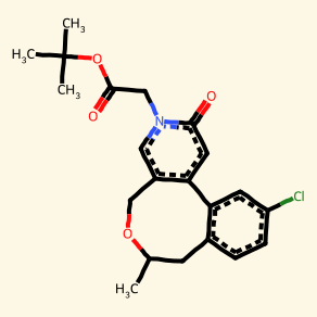 CC1Cc2ccc(Cl)cc2-c2cc(=O)n(CC(=O)OC(C)(C)C)cc2CO1